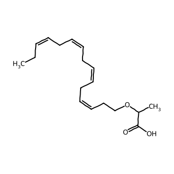 CC/C=C\C/C=C\C/C=C\C/C=C\CCOC(C)C(=O)O